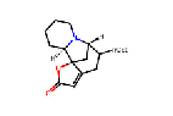 CCCCCCCCC1CC2=CC(=O)O[C@@]23C[C@@H]1N1CCCC[C@@H]13